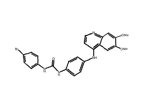 COc1cc2nccc(Nc3ccc(NC(=O)Nc4ccc(Br)cc4)cc3)c2cc1OC